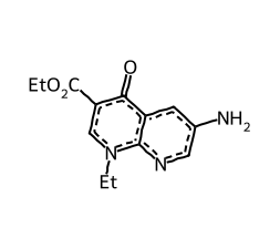 CCOC(=O)c1cn(CC)c2ncc(N)cc2c1=O